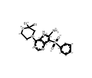 CCC1(CC)CN(c2ncnc3c(S(=O)(=O)c4ccccc4)c(N)[nH]c23)CCO1